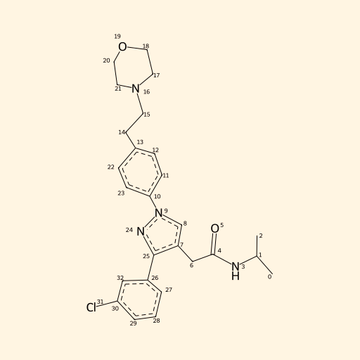 CC(C)NC(=O)Cc1cn(-c2ccc(CCN3CCOCC3)cc2)nc1-c1cccc(Cl)c1